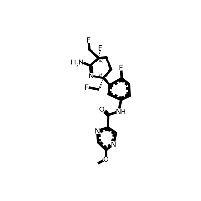 COc1cnc(C(=O)Nc2ccc(F)c([C@]3(CF)CC[C@](F)(CF)C(N)=N3)c2)cn1